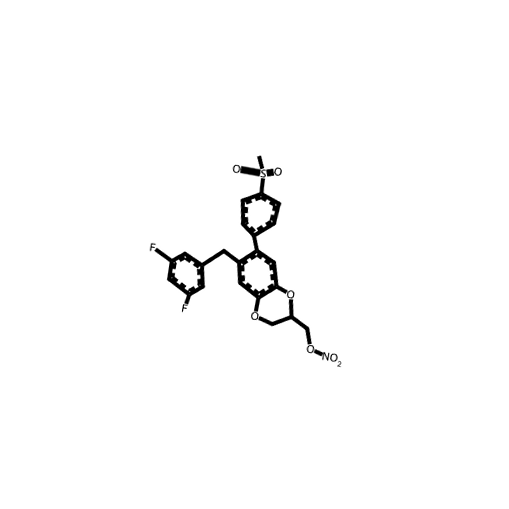 CS(=O)(=O)c1ccc(-c2cc3c(cc2Cc2cc(F)cc(F)c2)OCC(CO[N+](=O)[O-])O3)cc1